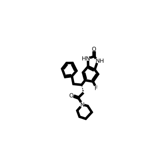 O=C(C[C@H](Cc1ccccc1)c1cc2[nH]c(=O)[nH]c2cc1F)N1CCCCC1